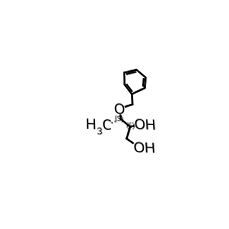 C[C@H](OCc1ccccc1)[C@@H](O)CO